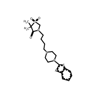 CC1(C)C(=O)N(CCCCN2CCN(c3nc4ccccc4s3)CC2)CS1(=O)=O